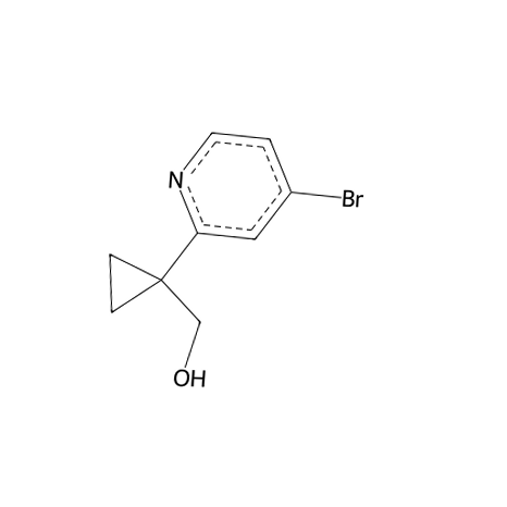 OCC1(c2cc(Br)ccn2)CC1